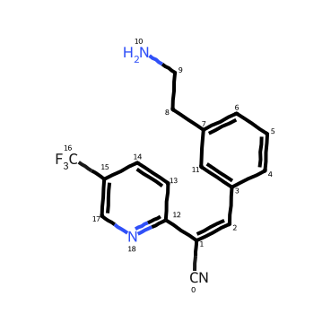 N#CC(=Cc1cccc(CCN)c1)c1ccc(C(F)(F)F)cn1